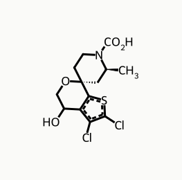 C[C@H]1C[C@@]2(CCN1C(=O)O)OCC(O)c1c2sc(Cl)c1Cl